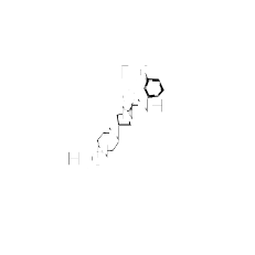 CN1CCN(C2CN(C(=O)Nc3cccc(C(F)(F)F)c3)C2)CC1